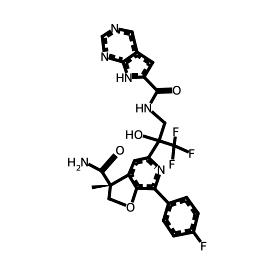 C[C@]1(C(N)=O)COc2c1cc(C(O)(CNC(=O)c1cc3cncnc3[nH]1)C(F)(F)F)nc2-c1ccc(F)cc1